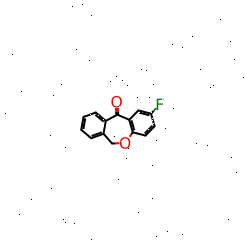 O=C1c2ccccc2COc2ccc(F)cc21